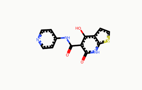 O=C(Nc1ccncc1)c1c(O)c2ccsc2[nH]c1=O